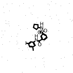 Cc1cc(I)cc(NC(=O)c2cccc(S(=O)(=O)NC3CCCC3)c2)c1